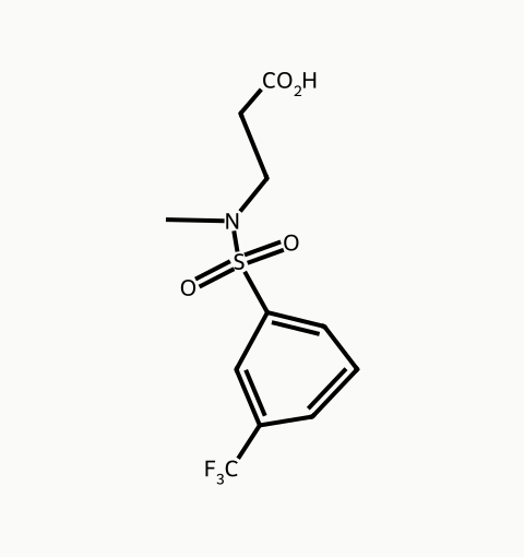 CN(CCC(=O)O)S(=O)(=O)c1cccc(C(F)(F)F)c1